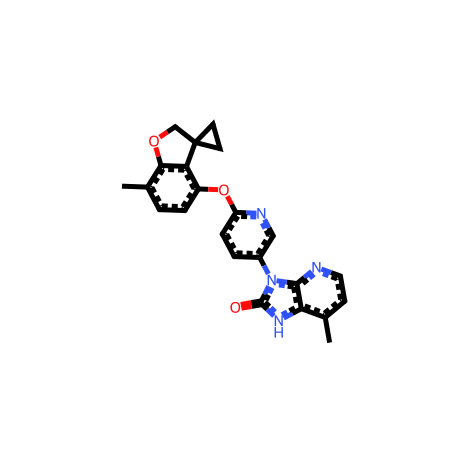 Cc1ccc(Oc2ccc(-n3c(=O)[nH]c4c(C)ccnc43)cn2)c2c1OCC21CC1